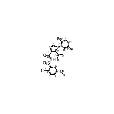 COc1ccc(Cl)c([S+]([O-])NC(=O)c2ncn(-c3cc(F)ccc3F)c2C(C)C)c1